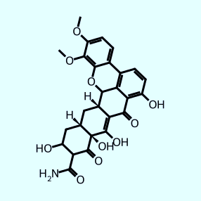 COc1ccc2c(c1OC)OC1c3c-2ccc(O)c3C(=O)C2=C(O)[C@]3(O)C(=O)C(C(N)=O)C(O)C[C@@H]3C[C@@H]21